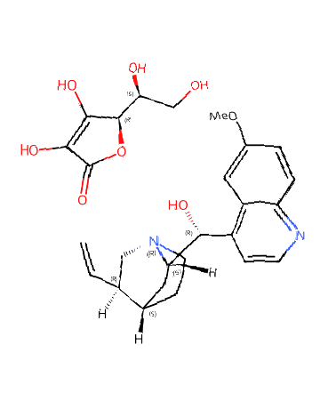 C=C[C@H]1C[N@]2CC[C@H]1C[C@H]2[C@H](O)c1ccnc2ccc(OC)cc12.O=C1O[C@H]([C@@H](O)CO)C(O)=C1O